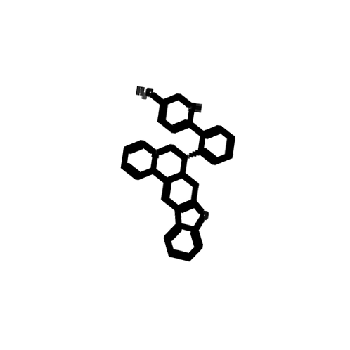 CC1=CC=C(c2ccccc2[C@H]2CN3C=CC=CC3C3=Cc4c(oc5ccccc45)CC32)NC1